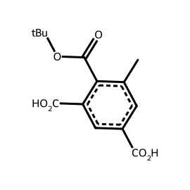 Cc1cc(C(=O)O)cc(C(=O)O)c1C(=O)OC(C)(C)C